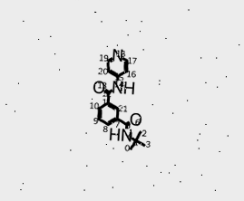 CC(C)(C)NC(=O)c1cccc(C(=O)Nc2ccncc2)c1